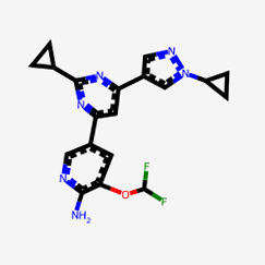 Nc1ncc(-c2cc(-c3cnn(C4CC4)c3)nc(C3CC3)n2)cc1OC(F)F